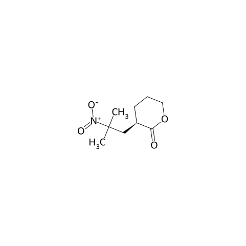 CC(C)(C[C@H]1CCCOC1=O)[N+](=O)[O-]